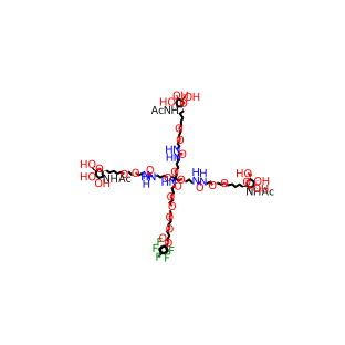 CC(=O)N[C@@H]1[C@@H](O)[C@@H](O)[C@@H](CO)O[C@@H]1CCCCCOCCOCCNC(=O)NCCCOCC(COCCCNC(=O)NCCOCCOCCCCC[C@H]1O[C@H](CO)[C@H](O)[C@H](O)[C@H]1NC(C)=O)(COCCCNC(=O)NCCOCCOCCCCC[C@H]1O[C@H](CO)[C@H](O)[C@H](O)[C@H]1NC(C)=O)NC(=O)CCOCCOCCOCCOCCC(=O)Oc1c(F)c(F)c(F)c(F)c1F